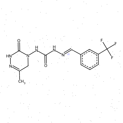 CC1=NNC(=O)N(NC(=O)N/N=C/c2cccc(C(F)(F)F)c2)C1